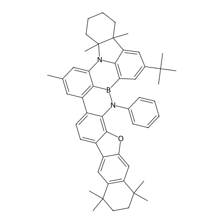 Cc1cc2c3c(c1)N1c4c(cc(C(C)(C)C)cc4C4(C)CCCCC14C)B3N(c1ccccc1)c1c-2ccc2c1oc1cc3c(cc12)C(C)(C)CCC3(C)C